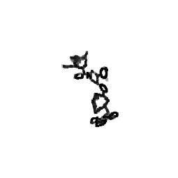 CO[C@@H]1CN(C(=O)c2cc(C)ccc2C)C[C@H]1Oc1cccc(CS(=O)(=O)Cl)c1